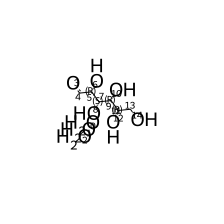 O.O.O.O=C[C@H](O)[C@@H](O)[C@H](O)[C@H](O)CO